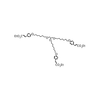 CCOC(=O)/C=C/c1ccc(OCCCCCCCCOCC(COCCCCCCCCOc2ccc(/C=C/C(=O)OCC)cc2)OCCCCCCCCOc2ccc(/C=C/C(=O)OCC)cc2)cc1